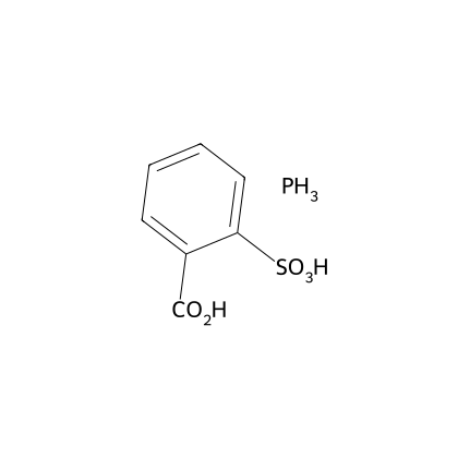 O=C(O)c1ccccc1S(=O)(=O)O.P